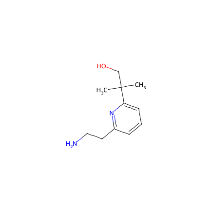 CC(C)(CO)c1cccc(CCN)n1